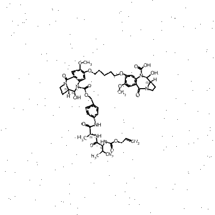 C=CCOC(=O)N[C@H](C(=O)N[C@@H](C)C(=O)Nc1ccc(COC(=O)N2c3cc(OCCCCCOc4cc5c(cc4OC)C(=O)N4CC[C@H]4C(O)N5C(=O)O)c(OC)cc3C(=O)N3CC[C@H]3[C@@H]2O)cc1)C(C)C